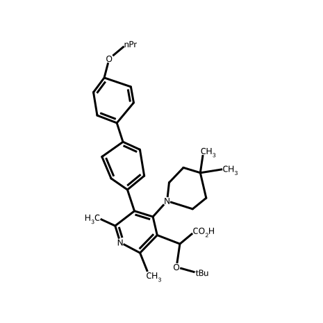 CCCOc1ccc(-c2ccc(-c3c(C)nc(C)c(C(OC(C)(C)C)C(=O)O)c3N3CCC(C)(C)CC3)cc2)cc1